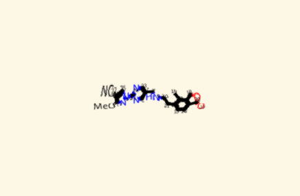 COc1nn(-c2ncc(CNCCc3ccc4c(c3C)COC4=O)cn2)cc1C#N